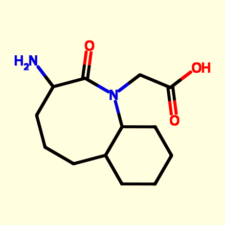 NC1CCCC2CCCCC2N(CC(=O)O)C1=O